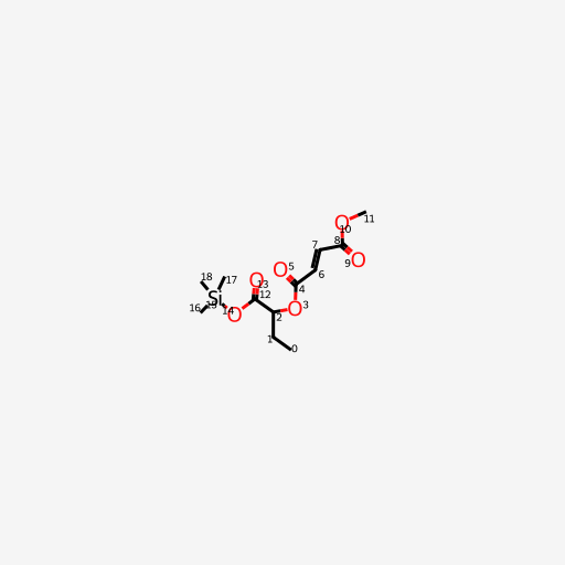 CCC(OC(=O)C=CC(=O)OC)C(=O)O[Si](C)(C)C